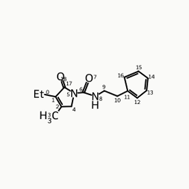 CCC1=C(C)CN(C(=O)NCCc2ccccc2)C1=O